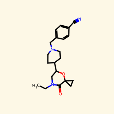 CCN1CC(C2CCN(Cc3ccc(C#N)cc3)CC2)OC2(CC2)C1=O